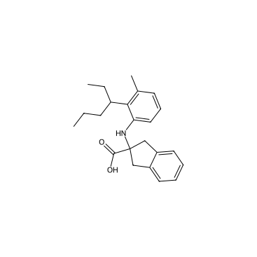 CCCC(CC)c1c(C)cccc1NC1(C(=O)O)Cc2ccccc2C1